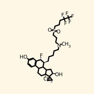 CN(CCCCC[C@H]1C2C(CC[C@@]3(C)C2C[C@@H](O)C32CC2)c2ccc(O)cc2[C@@H]1F)CCCS(=O)(=O)CCCC(F)(F)C(F)(F)F